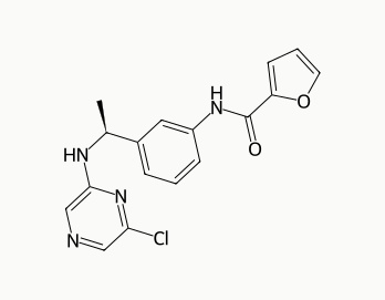 C[C@H](Nc1cncc(Cl)n1)c1cccc(NC(=O)c2ccco2)c1